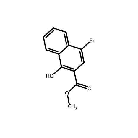 COC(=O)c1cc(Br)c2ccccc2c1O